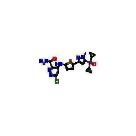 Cn1nc(-c2ccc(Nc3cc(Cl)nnc3C(N)=O)s2)cc1P(=O)(C1CC1)C1CC1